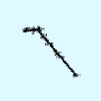 NN[C@H](C=O)CCCCNC(=O)CC[C@H](NC(=O)CCCNC(=O)COCCOCCNC(=O)COCCOCCNC(=O)CCCNC(=O)CCCCCCCCCCCCCCCCC(=O)O)C(=O)O